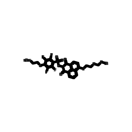 CCCCCCCCCCCCOc1c(F)c(F)c(S(=O)(=O)ON2C(=O)c3cccc4c(SCCOCOCC)ccc(c34)C2=O)c(F)c1F